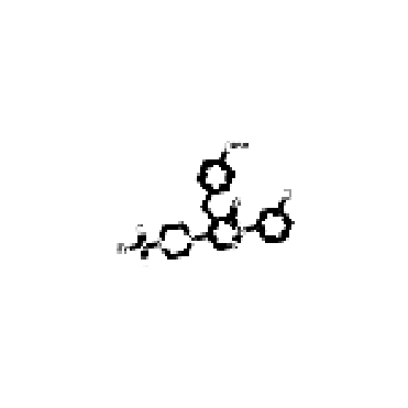 COc1ccc(Cc2c(N3CCN(S(=O)(=O)C(C)C)CC3)cnn(-c3cccc(Cl)c3)c2=O)cc1